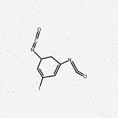 O=C=NC1=CC(I)=CC(N=C=O)C1